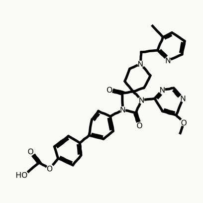 COc1cc(N2C(=O)N(c3ccc(-c4ccc(OC(=O)O)cc4)cc3)C(=O)C23CCN(Cc2ncccc2C)CC3)ncn1